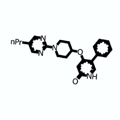 CCCc1cnc(N2CCC(Oc3cc(=O)[nH]cc3-c3ccccc3)CC2)nc1